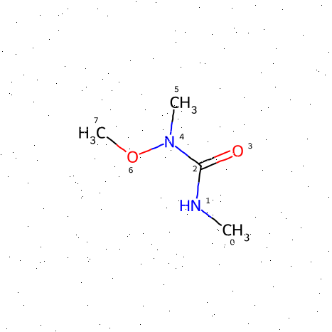 CNC(=O)N(C)OC